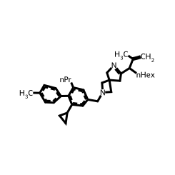 C=C(C)C(CCCCCC)C1=NCC2(C1)CN(Cc1cc(CCC)c(-c3ccc(C)cc3)c(C3CC3)c1)C2